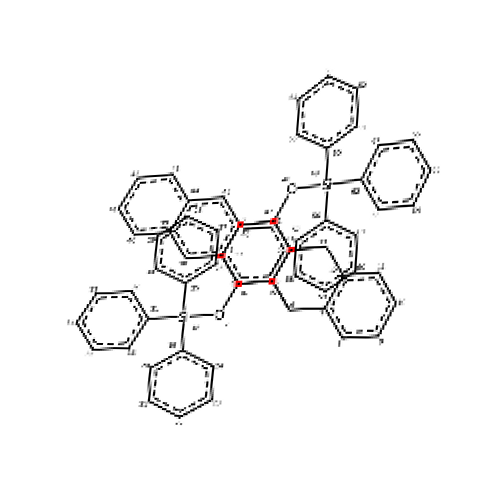 C1=CC2=C(CC1)C1c3ccccc3C2c2c1c(O[Si](c1ccccc1)(c1ccccc1)c1ccccc1)c1cc3ccccc3cc1c2O[Si](c1ccccc1)(c1ccccc1)c1ccccc1